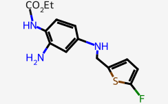 CCOC(=O)Nc1ccc(NCc2ccc(F)s2)cc1N